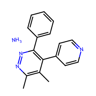 Cc1nnc(-c2ccccc2)c(-c2ccncc2)c1C.N